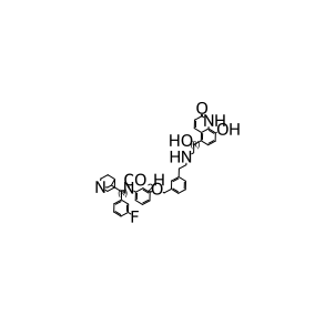 O=C(O)N(c1cccc(OCc2cccc(CCNC[C@H](O)c3ccc(O)c4[nH]c(=O)ccc34)c2)c1)[C@@H](c1cccc(F)c1)C1CN2CCC1CC2